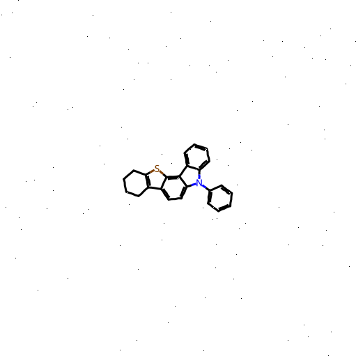 c1ccc(-n2c3ccccc3c3c4sc5c(c4ccc32)CCCC5)cc1